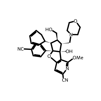 COc1nc(C#N)cc2c1[C@]1(O)[C@@H](CN3CCOCC3)[C@H](CO)[C@@H](C3C=CC=CC3)[C@]1(c1ccc(C#N)cc1)O2